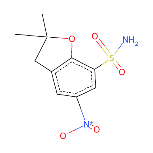 CC1(C)Cc2cc([N+](=O)[O-])cc(S(N)(=O)=O)c2O1